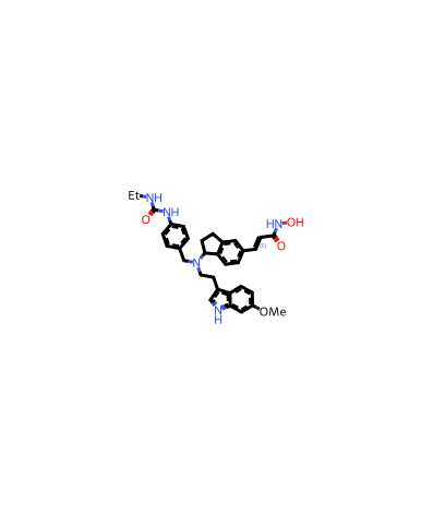 CCNC(=O)Nc1ccc(CN(CCc2c[nH]c3cc(OC)ccc23)C2CCc3cc(/C=C/C(=O)NO)ccc32)cc1